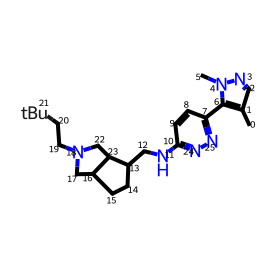 Cc1cnn(C)c1-c1ccc(NCC2CCC3CN(CCC(C)(C)C)CC23)nn1